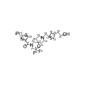 CC(C)c1nc(C(=O)N2CC(F)(F)OC3(CCN(Cc4cc(CCO)cs4)CC3)C2)cs1